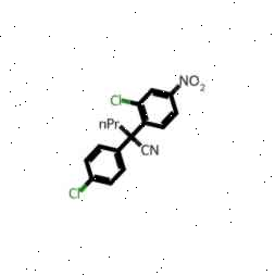 CCCC(C#N)(c1ccc(Cl)cc1)c1ccc([N+](=O)[O-])cc1Cl